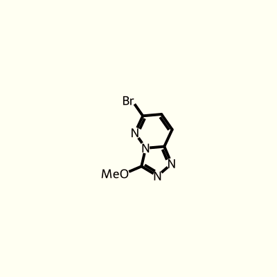 COc1nnc2ccc(Br)nn12